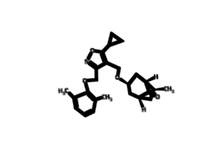 Cc1cccc(C)c1OCc1noc(C2CC2)c1CO[C@@H]1C[C@H]2C[C@H](C)[C@@H](C1)C2=O